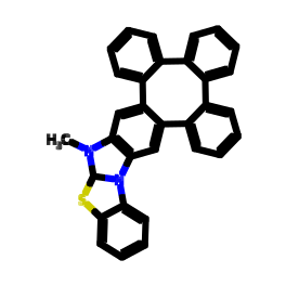 CN1c2cc3c(cc2N2c4ccccc4SC12)-c1ccccc1-c1ccccc1-c1ccccc1-3